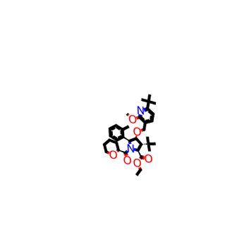 CCOC(=O)[C@@H]1[C@@H](C(C)(C)C)[C@H](OCc2ccc(C(C)(C)C)nc2OC)[C@H](c2ccccc2C)N1C(=O)[C@@H]1CCCCO1